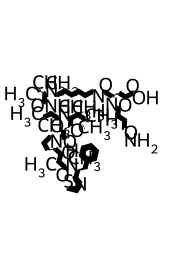 CC[C@H](C)[C@@H]([C@@H](CC(=O)N1CCC[C@H]1[C@H](OC)[C@@H](C)C(=O)N[C@@H](Cc1ccccc1)c1nccs1)OC)N(C)C(=O)[C@@H](NC(=O)[C@H](C(C)C)N(C)CCCCCCNC(=O)[C@H](CCC(=O)O)NC(=O)CCCON)C(C)C